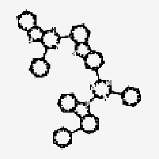 c1ccc(-c2nc(-c3ccc4c(c3)oc3c(-c5nc(-c6ccccc6)c6sc7ccccc7c6n5)cccc34)nc(-n3c4ccccc4c4c(-c5ccccc5)cccc43)n2)cc1